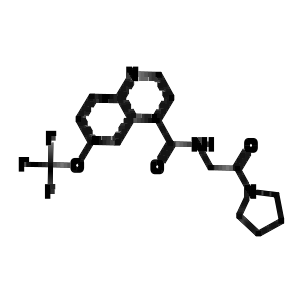 O=C(NCC(=O)N1CCCC1)c1ccnc2ccc(OC(F)(F)F)cc12